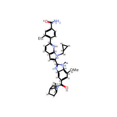 CCc1cc(C(N)=O)ccc1-c1ccc2cc(-c3nc4cc(C(=O)N5CC6CCC5[C@@H]6C)cc(OC)c4n3C)n(CC3CC3)c2n1